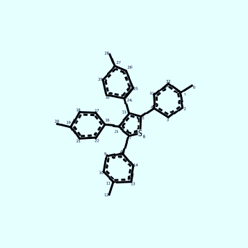 Cc1ccc(-c2sc(-c3ccc(C)cc3)c(-c3ccc(C)cc3)c2-c2ccc(C)cc2)cc1